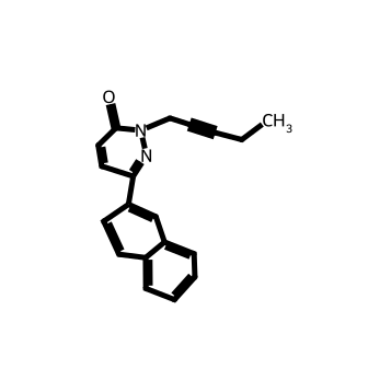 CCC#CCn1nc(-c2ccc3ccccc3c2)ccc1=O